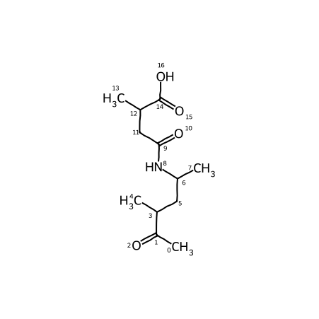 CC(=O)C(C)CC(C)NC(=O)CC(C)C(=O)O